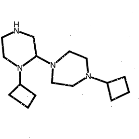 C1CC(N2CCN(C3CNCCN3C3CCC3)CC2)C1